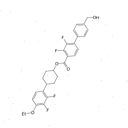 CCOc1ccc(C2CCC(OC(=O)c3ccc(-c4ccc(CO)cc4)c(F)c3F)CC2)c(F)c1F